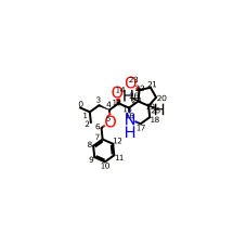 CC(C)C[C@H](OCc1ccccc1)C(=O)C1NCC[C@H]2CCC(=O)[C@@H]12